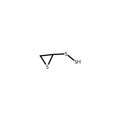 SSC1CS1